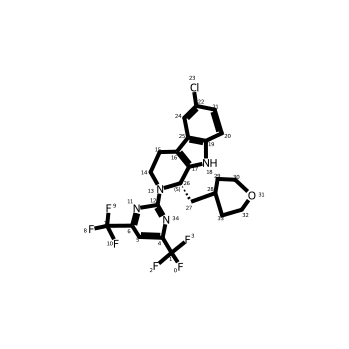 FC(F)(F)c1cc(C(F)(F)F)nc(N2CCc3c([nH]c4ccc(Cl)cc34)[C@@H]2CC2CCOCC2)n1